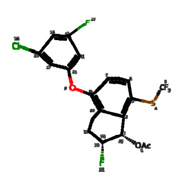 CC(=O)O[C@H]1c2c(SC(F)(F)F)ccc(Oc3cc(F)cc(Cl)c3)c2C[C@H]1F